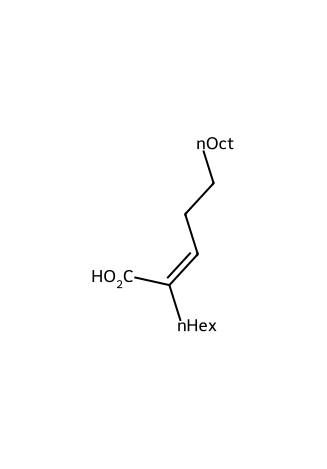 CCCCCCCCCC/C=C(/CCCCCC)C(=O)O